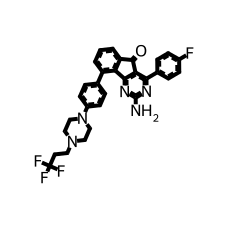 Nc1nc(-c2ccc(F)cc2)c2c(n1)-c1c(cccc1-c1ccc(N3CCN(CCC(F)(F)F)CC3)cc1)C2=O